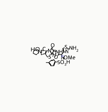 CO/N=C(/C(=O)N[C@@H]1C(=O)N2C(C(=O)O)=C(C[N+]3(C)CCCC3)CS[C@H]12)c1csc(N)n1.Cc1ccc(S(=O)(=O)O)cc1